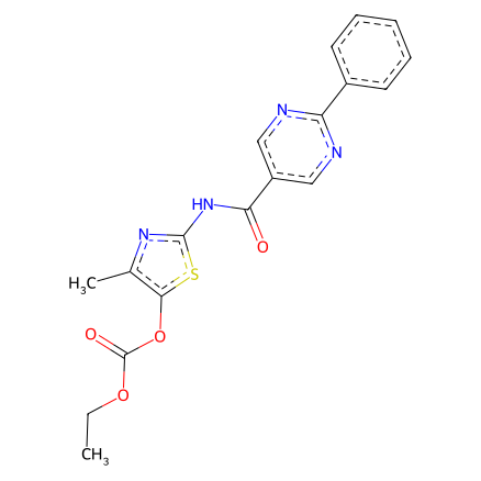 CCOC(=O)Oc1sc(NC(=O)c2cnc(-c3ccccc3)nc2)nc1C